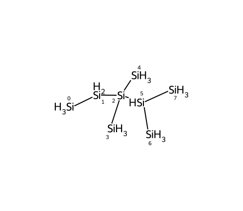 [SiH3][SiH2][Si]([SiH3])([SiH3])[SiH]([SiH3])[SiH3]